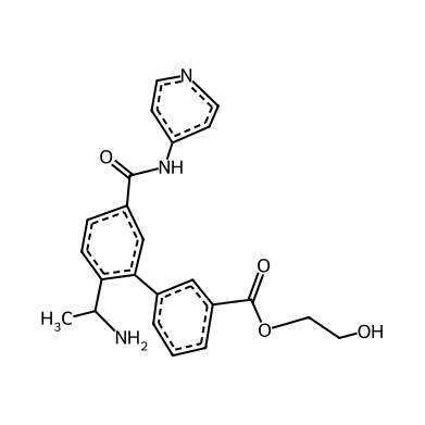 CC(N)c1ccc(C(=O)Nc2ccncc2)cc1-c1cccc(C(=O)OCCO)c1